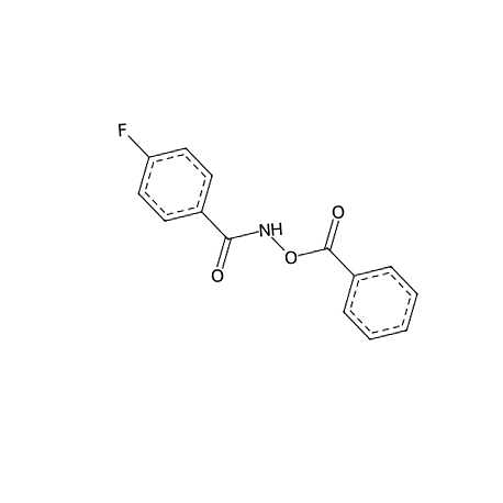 O=C(NOC(=O)c1ccccc1)c1ccc(F)cc1